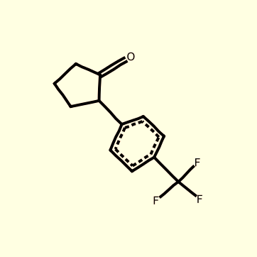 O=C1CCCC1c1ccc(C(F)(F)F)cc1